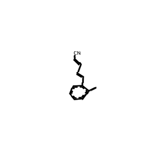 Cc1ccccc1C=CC=CC#N